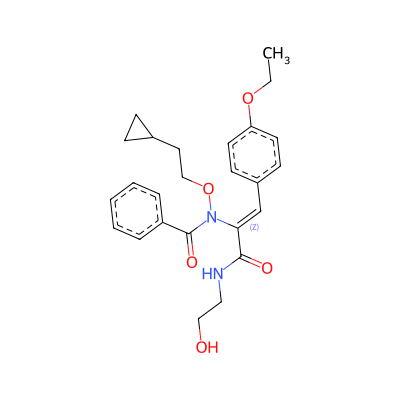 CCOc1ccc(/C=C(/C(=O)NCCO)N(OCCC2CC2)C(=O)c2ccccc2)cc1